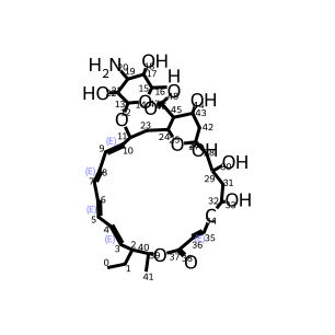 CCC1/C=C/C=C/C=C/C=C/C(OC2OC(C)C(O)C(N)C2O)CC2OC(O)(CC(O)CC(O)C/C=C/C(=O)OC1C)CC(O)C2C(=O)O